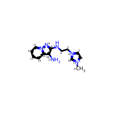 C[n+]1ccn(CCNc2nn3ccccc3c2N)c1